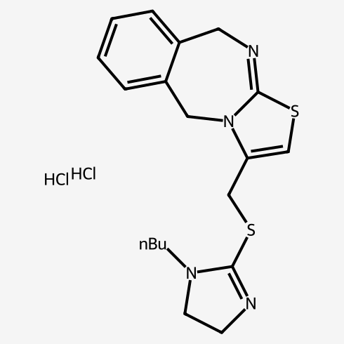 CCCCN1CCN=C1SCC1=CSC2=NCc3ccccc3CN12.Cl.Cl